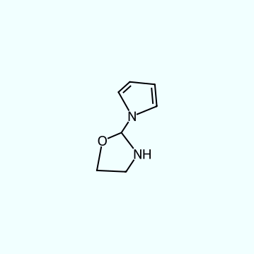 c1ccn(C2NCCO2)c1